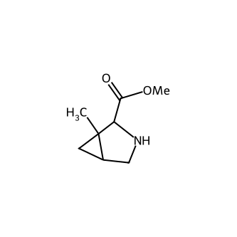 COC(=O)C1NCC2CC21C